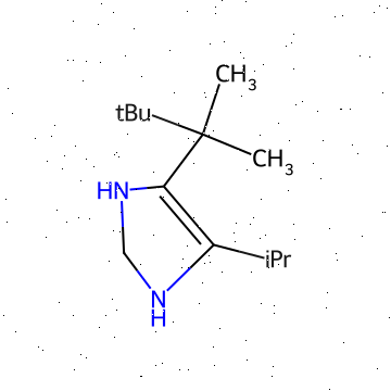 CC(C)C1=C(C(C)(C)C(C)(C)C)NCN1